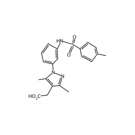 Cc1ccc(S(=O)(=O)Nc2cccc(-n3nc(C)c(CC(=O)O)c3C)c2)cc1